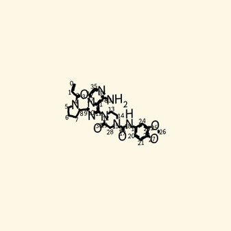 C=CC(=O)N1CCCC1c1nc(N2CCN(C(=O)Nc3ccc4c(c3)OCO4)CC2=O)c2c(N)nccn12